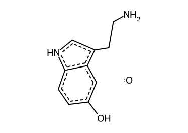 NCCc1c[nH]c2ccc(O)cc12.[O]